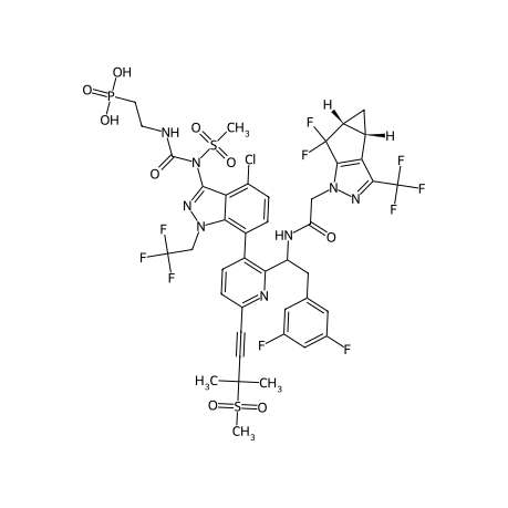 CC(C)(C#Cc1ccc(-c2ccc(Cl)c3c(N(C(=O)NCCP(=O)(O)O)S(C)(=O)=O)nn(CC(F)(F)F)c23)c(C(Cc2cc(F)cc(F)c2)NC(=O)Cn2nc(C(F)(F)F)c3c2C(F)(F)[C@@H]2C[C@H]32)n1)S(C)(=O)=O